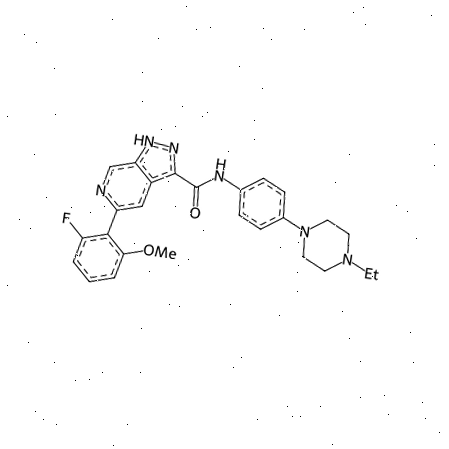 CCN1CCN(c2ccc(NC(=O)c3n[nH]c4cnc(-c5c(F)cccc5OC)cc34)cc2)CC1